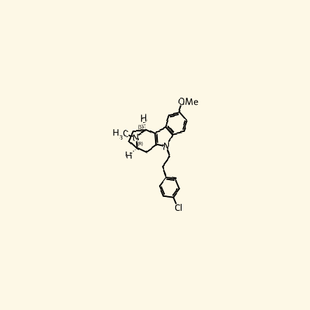 COc1ccc2c(c1)c1c(n2CCc2ccc(Cl)cc2)C[C@H]2CC[C@@H]1N2C